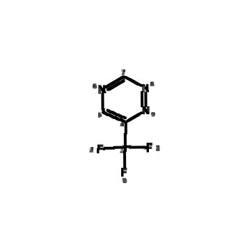 FC(F)(F)c1cn[c]nn1